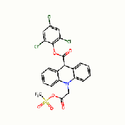 O=C(CN1c2ccccc2C(C(=O)Oc2c(Cl)cc(Cl)cc2Cl)c2ccccc21)OS(=O)(=O)C(F)(F)F